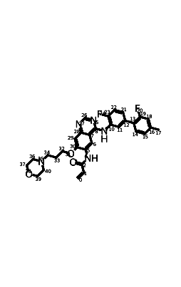 C=CC(=O)Nc1cc2c(Nc3cc(-c4ccc(C)cc4F)ccc3F)ncnc2cc1OCCCN1CCOCC1